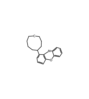 c1ccc2c(c1)[N]c1c(cccc1C1CCCCCCCC1)O2